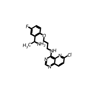 CC(N)c1cc(F)ccc1OCCCNc1ncnc2ccc(Cl)nc12